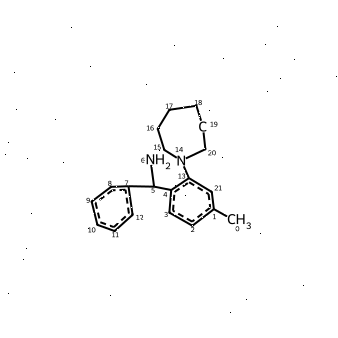 Cc1ccc(C(N)c2ccccc2)c(N2CCCCCC2)c1